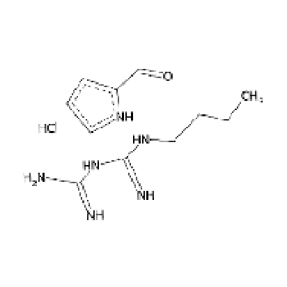 CCCCNC(=N)NC(=N)N.Cl.O=Cc1ccc[nH]1